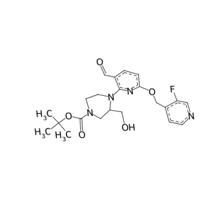 CC(C)(C)OC(=O)N1CCN(c2nc(OCc3ccncc3F)ccc2C=O)C(CO)C1